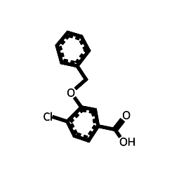 O=C(O)c1ccc(Cl)c(OCc2ccccc2)c1